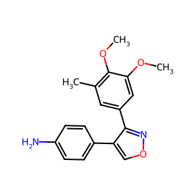 COc1cc(-c2nocc2-c2ccc(N)cc2)cc(C)c1OC